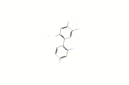 COc1cc(OC)c(C(C)C)cc1-c1ccc(F)cc1N